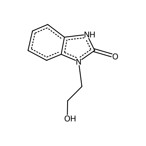 O=c1[nH]c2ccccc2n1CCO